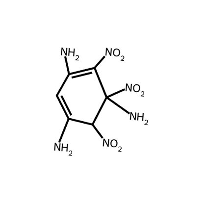 NC1=CC(N)=C([N+](=O)[O-])C(N)([N+](=O)[O-])C1[N+](=O)[O-]